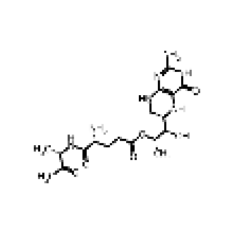 CC(=O)[C@H](C)NC(=O)[C@H](N)CCC(=O)O[C@@H](C)[C@H](O)[C@H]1CNc2nc(N)[nH]c(=O)c2N1